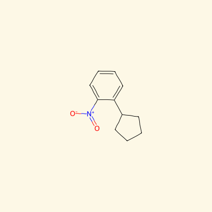 O=[N+]([O-])c1ccccc1C1CCCC1